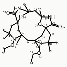 CCON1C(C)(C)CC23CC1(C)CC1(C)CC4(CC(C)(C)N1OCC)OC(C)(CC(C)(NC2=O)O3)NC4=O